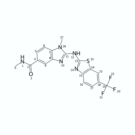 CNC(=O)c1ccc2c(c1)nc(Nc1nc3ccc(C(F)(F)F)cc3s1)n2C